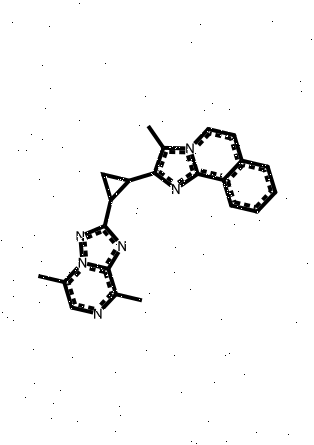 Cc1ncc(C)n2nc(C3CC3c3nc4c5ccccc5ccn4c3C)nc12